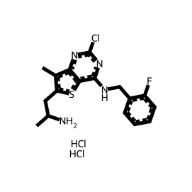 Cc1c(CC(C)N)sc2c(NCc3ccccc3F)nc(Cl)nc12.Cl.Cl